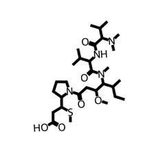 CCC(C)C(C(CC(=O)N1CCCC1C(CC(=O)O)SC)OC)N(C)C(=O)C(NC(=O)C(C(C)C)N(C)C)C(C)C